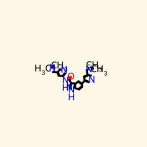 CN(C)Cc1cncc(NC(=O)c2n[nH]c3ccc(-c4cncc(CN(C)C)c4)cc23)c1